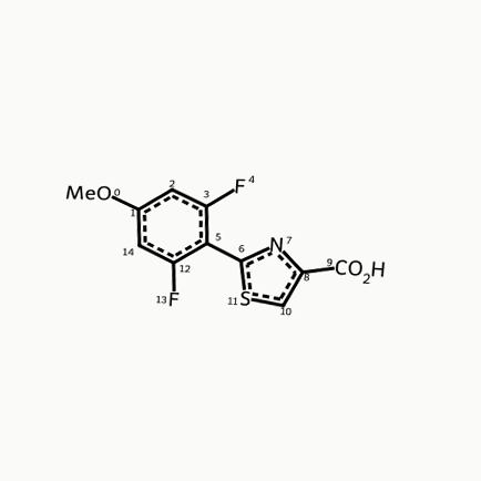 COc1cc(F)c(-c2nc(C(=O)O)cs2)c(F)c1